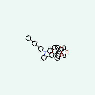 c1ccc(-c2ccc(-c3ccc(N(c4ccc(-c5cccc6c5-c5ccccc5C65c6ccccc6Oc6ccccc65)cc4)c4ccccc4-c4ccc5c(c4)-c4ccccc4C54c5ccccc5Oc5ccccc54)cc3)cc2)cc1